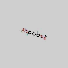 C=CC(=O)O/C=C\Oc1ccc(-c2ccc(-c3ccc(O/C=C\OC(=O)C(=C)C)cc3F)cc2)cc1F